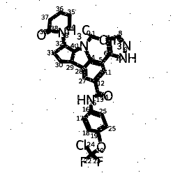 CC(C)N1c2c(-c3ccn[nH]3)cc(C(=O)Nc3ccc(OC(F)(F)Cl)cc3)cc2C2CCC(N3CCCCC3=O)C21